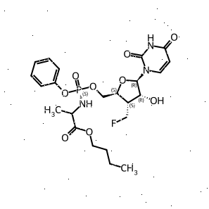 CCCCOC(=O)C(C)N[P@](=O)(OC[C@H]1O[C@@H](n2ccc(=O)[nH]c2=O)[C@H](O)[C@@H]1CF)Oc1ccccc1